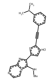 CN(C)c1cccc(C#Cc2ccc(-c3nc4cnccn4c3NC(C)(C)C)s2)c1.Cl